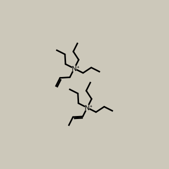 C=CC[N+](CCC)(CCC)CCC.CC=C[N+](CCC)(CCC)CCC